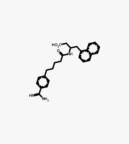 N=C(N)c1ccc(CCCCC(=O)NC(CC(=O)O)Cc2cccc3ccccc23)cc1